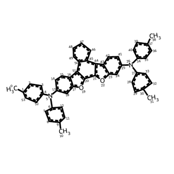 Cc1ccc(N(c2ccc(C)cc2)c2ccc3c(c2)oc2c4oc5cc(N(c6ccc(C)cc6)c6ccc(C)cc6)ccc5c4c4ccccc4c32)cc1